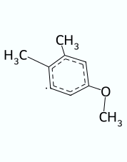 COc1c[c]c(C)c(C)c1